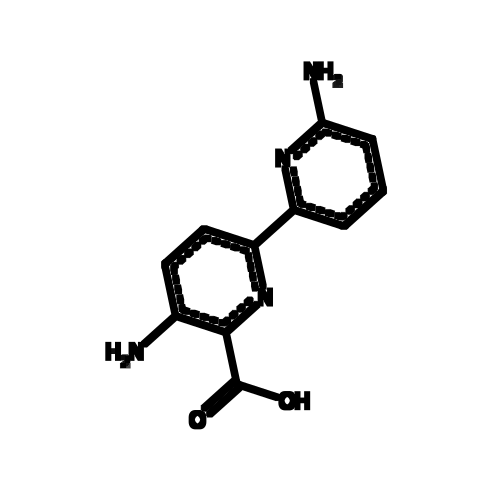 Nc1cccc(-c2ccc(N)c(C(=O)O)n2)n1